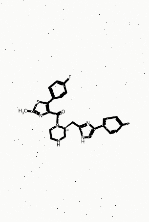 Cc1nc(C(=O)N2CCNC[C@@H]2Cc2nc(-c3ccc(F)cc3)c[nH]2)c(-c2ccc(F)cc2)s1